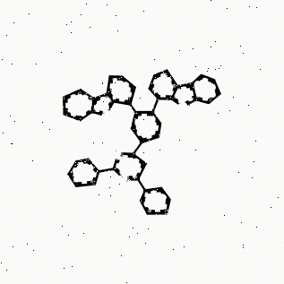 c1ccc(-c2cc(-c3ccc(-c4cccc5c4sc4ccccc45)c(-c4cccc5c4sc4ccccc45)c3)nc(-c3ccccc3)n2)cc1